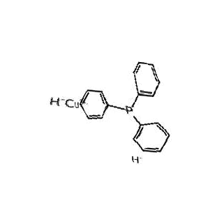 [Cu+2].[H-].[H-].c1ccc(P(c2ccccc2)c2ccccc2)cc1